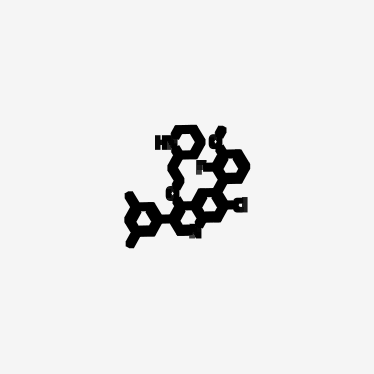 COc1cccc(-c2cc3c(OCCC4CCCCN4)c(-c4cc(C)cc(C)c4)cnc3cc2Cl)c1F